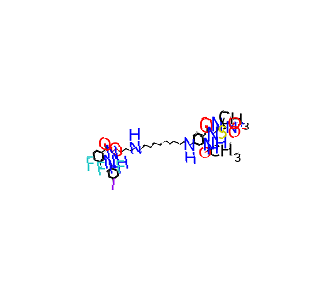 CC(=O)Nc1cc(NCCCCCCCCCCNCCCONC(=O)c2ccc(F)c(F)c2Nc2ccc(I)cc2F)ccc1C(=O)Nc1nc(C)c([N+](=O)[O-])s1